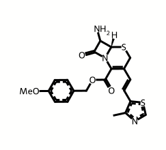 COc1ccc(COC(=O)C2=C(C=Cc3scnc3C)CS[C@H]3C(N)C(=O)N23)cc1